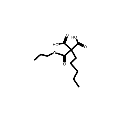 CCCCCC(C(=O)O)(C(=O)O)C(=O)OCCC